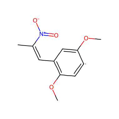 COc1[c]cc(OC)c(C=C(C)[N+](=O)[O-])c1